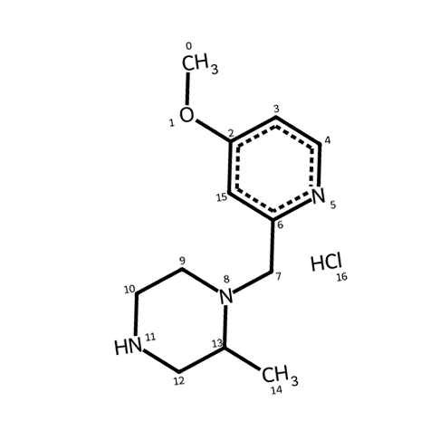 COc1ccnc(CN2CCNCC2C)c1.Cl